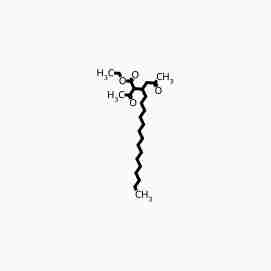 CCCCCCCCCCCCCCCC(CC(C)=O)C(C(C)=O)C(=O)OCC